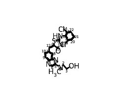 CN(CCO)c1cnc2ccc(C=C3SC(Nc4c(Cl)cccc4Cl)=NC3=O)cc2n1